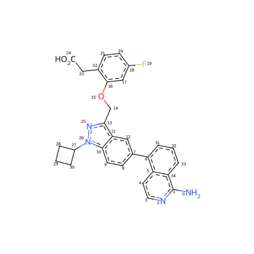 Nc1nccc2c(-c3ccc4c(c3)c(COc3cc(F)ccc3CC(=O)O)nn4C3CCC3)cccc12